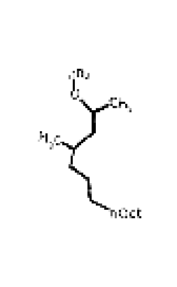 CCCCCCCCCCCC(C)CC(C)OCCCC